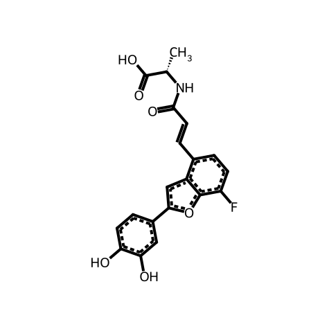 C[C@H](NC(=O)/C=C/c1ccc(F)c2oc(-c3ccc(O)c(O)c3)cc12)C(=O)O